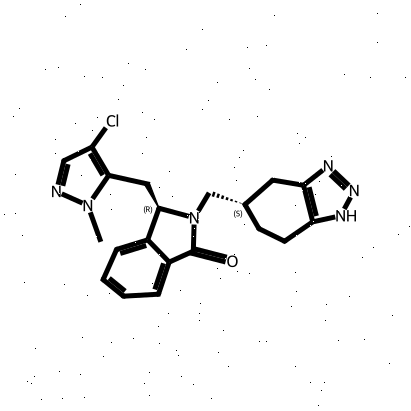 Cn1ncc(Cl)c1C[C@@H]1c2ccccc2C(=O)N1C[C@H]1CCc2[nH]nnc2C1